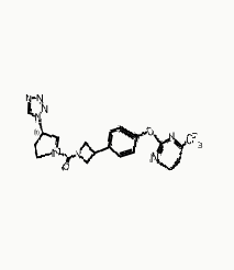 O=C(N1CC(c2ccc(Oc3nccc(C(F)(F)F)n3)cc2)C1)N1CC[C@@H](n2cnnn2)C1